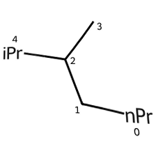 C[CH]CCC(C)C(C)C